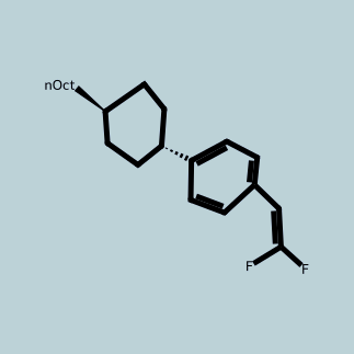 CCCCCCCC[C@H]1CC[C@H](c2ccc(C=C(F)F)cc2)CC1